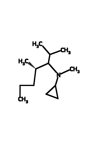 CCC[C@H](C)C(C(C)C)N(C)C1CC1